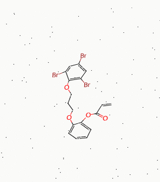 C=CC(=O)Oc1ccccc1OCCCOc1c(Br)cc(Br)cc1Br